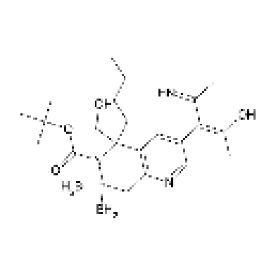 BC1(B)Cc2ncc(/C(C(C)=N)=C(\C)O)cc2C(CO)(CCCC)N1C(=O)OC(C)(C)C